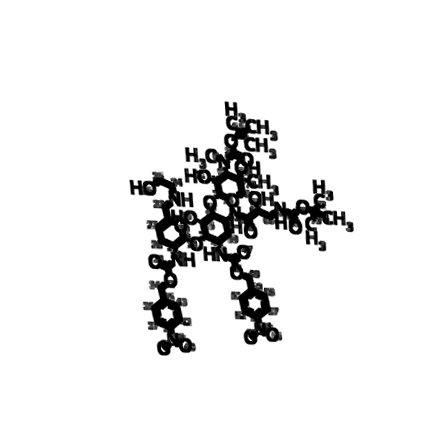 CN(C(=O)OC(C)(C)C)[C@@H]1[C@@H](O)[C@@H](O[C@@H]2[C@@H](O)[C@H](O[C@H]3OC(CNCCO)=CC[C@H]3NC(=O)OCc3ccc([N+](=O)[O-])cc3)[C@@H](NC(=O)OCc3ccc([N+](=O)[O-])cc3)C[C@H]2NC(=O)[C@H](O)CNC(=O)OC(C)(C)C)OC[C@]1(C)O